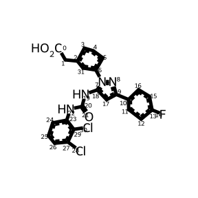 O=C(O)Cc1cccc(-n2nc(-c3ccc(F)cc3)cc2NC(=O)Nc2cccc(Cl)c2Cl)c1